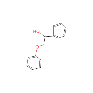 OC(COc1cc[c]cc1)c1ccccc1